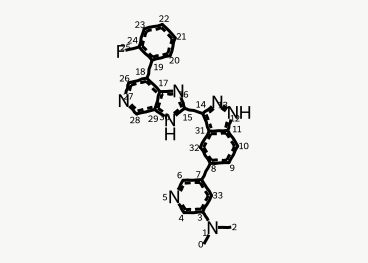 CN(C)c1cncc(-c2ccc3[nH]nc(-c4nc5c(-c6ccccc6F)cncc5[nH]4)c3c2)c1